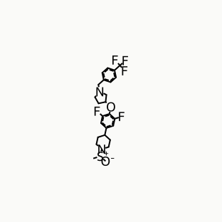 C[S+]([O-])N1CCC(c2cc(F)c(OC3CCN(Cc4ccc(C(F)(F)F)cc4)C3)c(F)c2)CC1